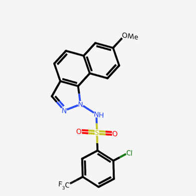 COc1ccc2c(ccc3cnn(NS(=O)(=O)c4cc(C(F)(F)F)ccc4Cl)c32)c1